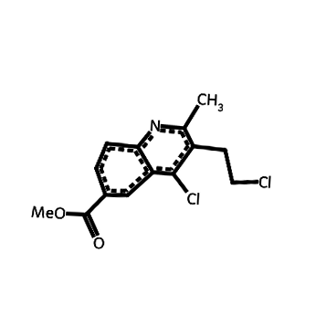 COC(=O)c1ccc2nc(C)c(CCCl)c(Cl)c2c1